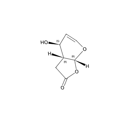 O=C1C[C@H]2[C@H](OC=C[C@@H]2O)O1